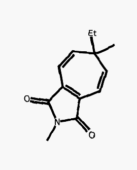 CCC1(C)C=CC2=C(C=C1)C(=O)N(C)C2=O